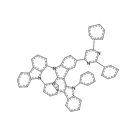 c1ccc(-c2cc(-c3ccc4c(c3)c3c(ccc5c6ccccc6n(-c6ccccc6)c53)n4-c3cccc4c5ccccc5n(-c5ccccc5)c34)nc(-c3ccccc3)n2)cc1